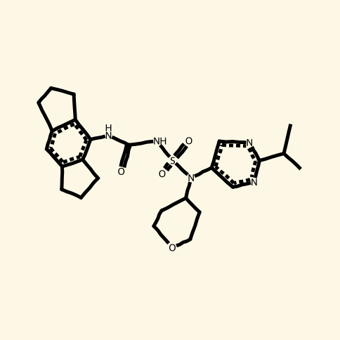 CC(C)c1ncc(N(C2CCOCC2)S(=O)(=O)NC(=O)Nc2c3c(cc4c2CCC4)CCC3)cn1